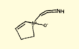 N=C=C[N+]1([O-])C=CCC1